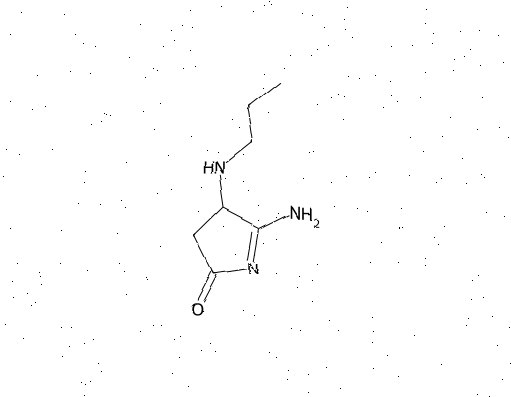 CCCNC1CC(=O)N=C1N